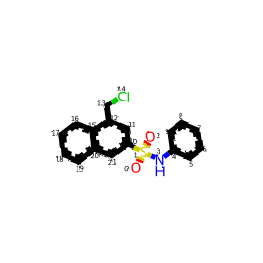 O=S(=O)(Nc1ccccc1)c1cc(CCl)c2ccccc2c1